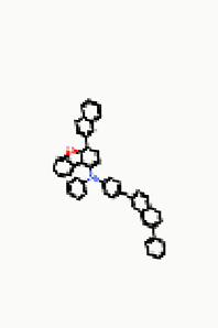 c1ccc(-c2ccc3ccc(-c4ccc(N(c5ccccc5)c5ccc(-c6ccc7ccccc7c6)c6oc7ccccc7c56)cc4)cc3c2)cc1